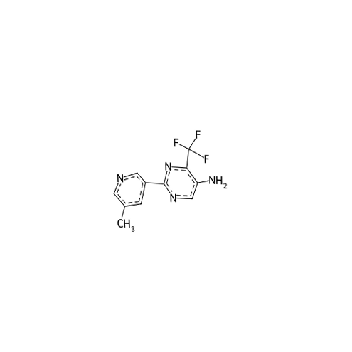 Cc1cncc(-c2ncc(N)c(C(F)(F)F)n2)c1